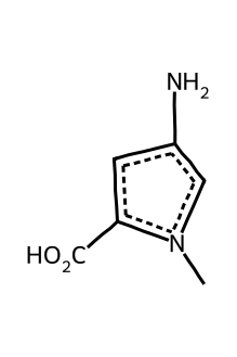 Cn1cc(N)cc1C(=O)O